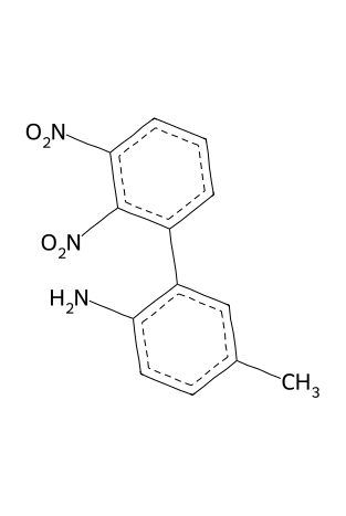 Cc1ccc(N)c(-c2cccc([N+](=O)[O-])c2[N+](=O)[O-])c1